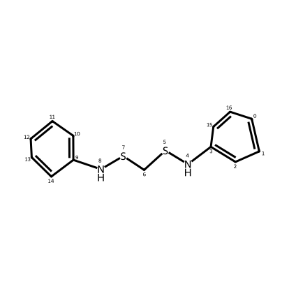 c1ccc(NSCSNc2ccccc2)cc1